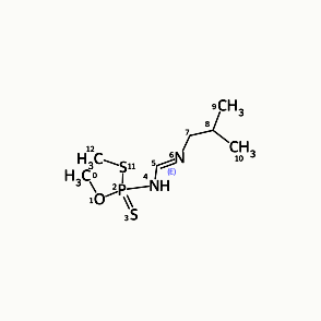 COP(=S)(N/C=N/CC(C)C)SC